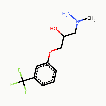 CN(N)CC(O)COc1cccc(C(F)(F)F)c1